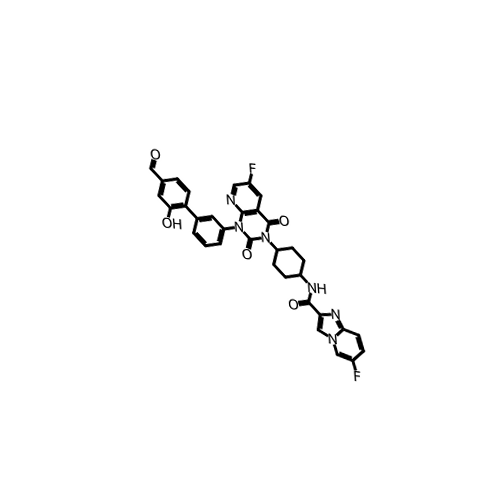 O=Cc1ccc(-c2cccc(-n3c(=O)n(C4CCC(NC(=O)c5cn6cc(F)ccc6n5)CC4)c(=O)c4cc(F)cnc43)c2)c(O)c1